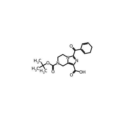 CC(C)(C)OC(=O)N1CCn2c(C(=O)C3=CCCC=C3)nc(C(=O)O)c2C1